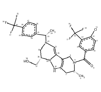 C[C@@H]1CC2=C(CN1C(=O)c1ccc(Cl)c(C(F)(F)F)c1)C1=CN([C@@H](C)c3ccc(C(F)(F)F)nc3)C[C@@H](CO)N1N2